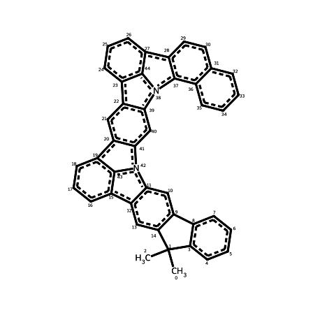 CC1(C)c2ccccc2-c2cc3c(cc21)c1cccc2c4cc5c6cccc7c8ccc9ccccc9c8n(c5cc4n3c12)c67